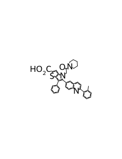 Cc1ccccc1-c1ccc2cc(-c3c(-c4ccccc4)c4sc(C(=O)O)cc4n3CC(=O)N3CCCCC3)ccc2n1